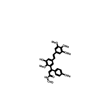 COc1ccc(/C(=C\C(=O)NC=O)c2cc(/C=C/c3cc(OC)c(OC)c(OC)c3)cc(O)c2OC)cc1